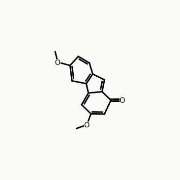 COC1=CC(=O)C2=Cc3ccc(OC)cc3C2=C1